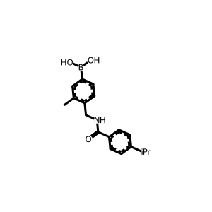 Cc1cc(B(O)O)ccc1CNC(=O)c1ccc(C(C)C)cc1